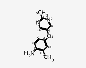 Cc1ncc(Oc2ccc(N)c(C)c2)cn1